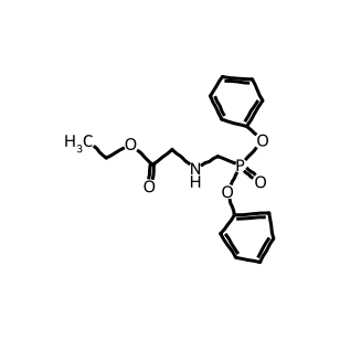 CCOC(=O)CNCP(=O)(Oc1ccccc1)Oc1ccccc1